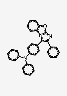 c1ccc(-c2nc3oc4ccccc4n3c2-c2ccc(N(c3ccccc3)c3ccccc3)cc2)cc1